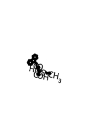 CCCCSCC(NC(=O)OCC1c2ccccc2-c2ccccc21)C(=O)O